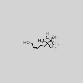 CC(C)(CC/C=C\CO)[Si](C)(C)O